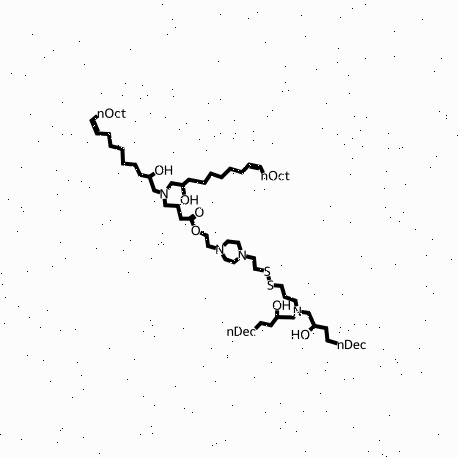 CCCCCCCC/C=C\CCCCCCC(O)CN(CCCC(=O)OCCN1CCN(CCSSCCCN(CC(O)CCCCCCCCCCCC)CC(O)CCCCCCCCCCCC)CC1)CC(O)CCCCCC/C=C\CCCCCCCC